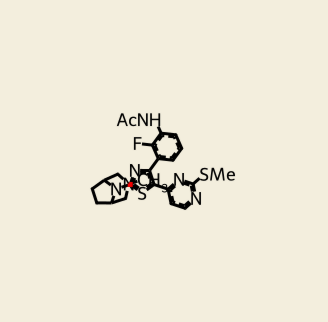 CSc1nccc(-c2sc(N3C4CCC3CN(C)C4)nc2-c2cccc(NC(C)=O)c2F)n1